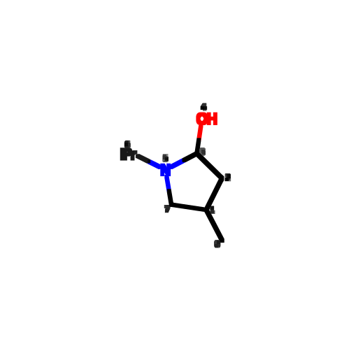 CC1CC(O)N(C(C)C)C1